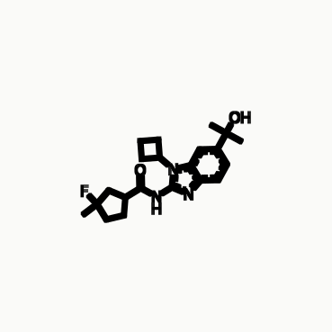 CC1(F)CCC(C(=O)Nc2nc3ccc(C(C)(C)O)cc3n2C2CCC2)C1